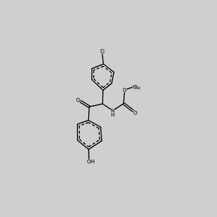 CC(C)(C)OC(=O)NC(C(=O)c1ccc(O)cc1)c1ccc(Cl)cc1